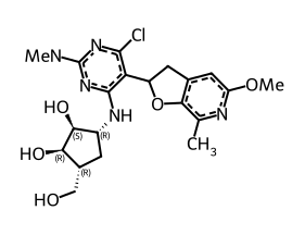 CNc1nc(Cl)c(C2Cc3cc(OC)nc(C)c3O2)c(N[C@@H]2C[C@H](CO)[C@@H](O)[C@H]2O)n1